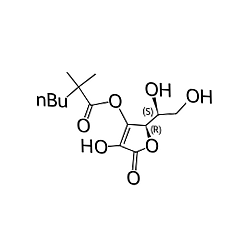 CCCCC(C)(C)C(=O)OC1=C(O)C(=O)O[C@@H]1[C@@H](O)CO